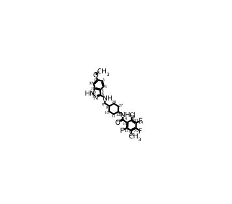 COc1ccc2c(NCC3CCC(NC(=O)c4c(F)c(C)c(F)c(F)c4Cl)CC3)n[nH]c2c1